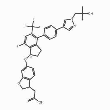 CC(C)(O)Cn1cc(-c2ccc(-c3c(C(F)(F)F)cc(F)c4c3CC[C@H]4Oc3ccc4c(c3)OCC4CC(=O)O)cc2)cn1